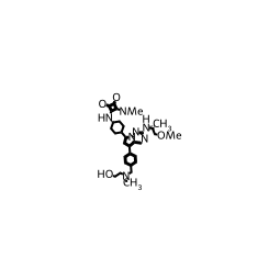 CNc1c(NC2CCC(c3cc(-c4ccc(CN(C)CCO)cc4)c4cnc(N[C@@H](C)COC)nn34)CC2)c(=O)c1=O